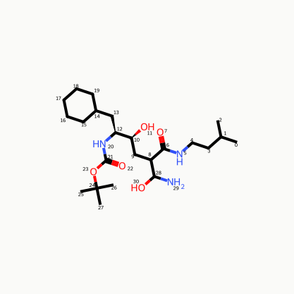 CC(C)CCNC(=O)C(C[C@H](O)[C@H](CC1CCCCC1)NC(=O)OC(C)(C)C)C(N)O